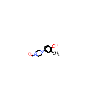 Cc1cc(N2CCN(C=O)CC2)ccc1O